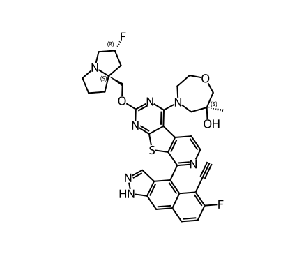 C#Cc1c(F)ccc2cc3[nH]ncc3c(-c3nccc4c3sc3nc(OC[C@@]56CCCN5C[C@H](F)C6)nc(N5CCOC[C@@](C)(O)C5)c34)c12